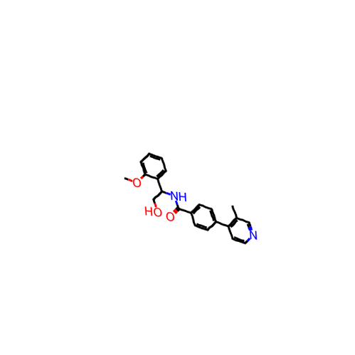 COc1ccccc1C(CO)NC(=O)c1ccc(-c2ccncc2C)cc1